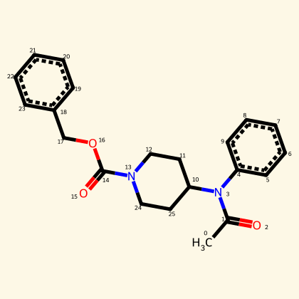 CC(=O)N(c1ccccc1)C1CCN(C(=O)OCc2ccccc2)CC1